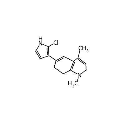 CC1=CCN(C)C2=C1C=C(c1cc[nH]c1Cl)CC2